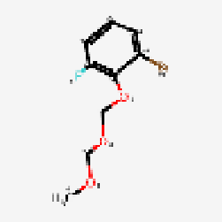 COCOCOc1c(F)cccc1Br